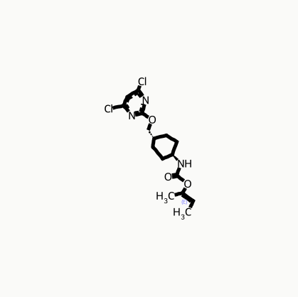 C/C=C(\C)OC(=O)N[C@H]1CC[C@H](COc2nc(Cl)cc(Cl)n2)CC1